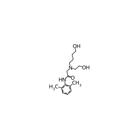 Cc1cccc(C)c1NC(=O)CN(CCO)CCCCO